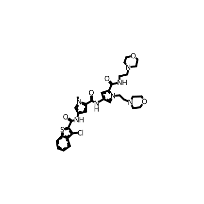 Cn1cc(NC(=O)c2sc3ccccc3c2Cl)cc1C(=O)Nc1cc(C(=O)NCCN2CCOCC2)n(CCN2CCOCC2)c1